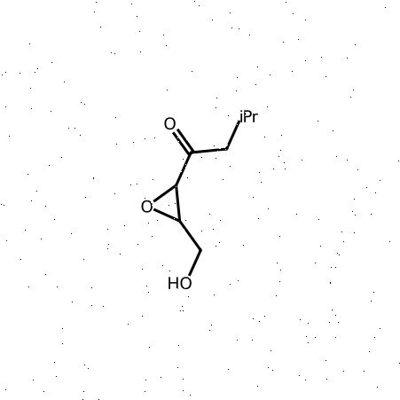 CC(C)CC(=O)C1OC1CO